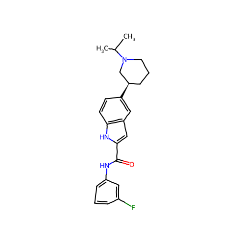 CC(C)N1CCC[C@@H](c2ccc3[nH]c(C(=O)Nc4cccc(F)c4)cc3c2)C1